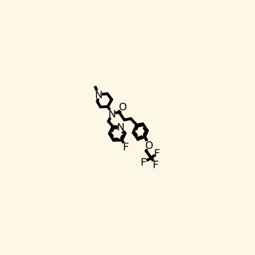 CN1CCC(N(Cc2ccc(F)cn2)C(=O)CCc2ccc(OCC(F)(F)F)cc2)CC1